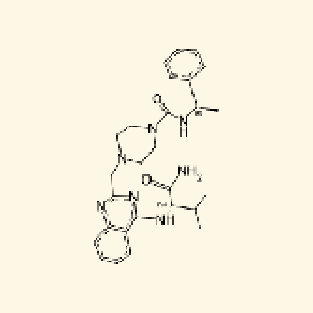 CC(C)[C@H](Nc1nc(CN2CCN(C(=O)N[C@H](C)c3ccccc3)CC2)nc2ccccc12)C(N)=O